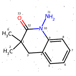 CC1(C)Cc2ccccc2N(N)C1=O